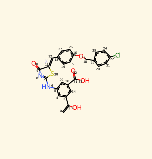 C=C(O)c1cc(NC2=NC(=O)/C(=C/c3ccc(OCc4ccc(Cl)cc4)cc3)S2)cc(C(=O)O)c1